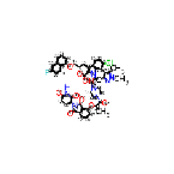 Cc1nn(C)c(C)c1-c1c(Cl)ccc2c(CCCOc3cccc4cc(F)ccc34)c(C(=O)O)n(CCN3CCN(C(=O)[C@H](C)Oc4cccc5c4C(=O)N([C@@H]4CCC(=O)NC4=O)C5=O)CC3)c12